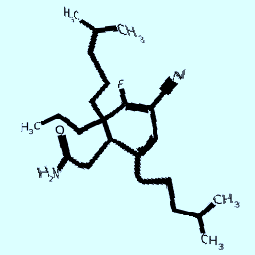 CCCC1(CCCC(C)C)C(F)=C(C#N)C=C(CCCC(C)C)C1CC(N)=O